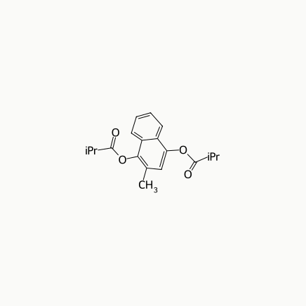 Cc1cc(OC(=O)C(C)C)c2ccccc2c1OC(=O)C(C)C